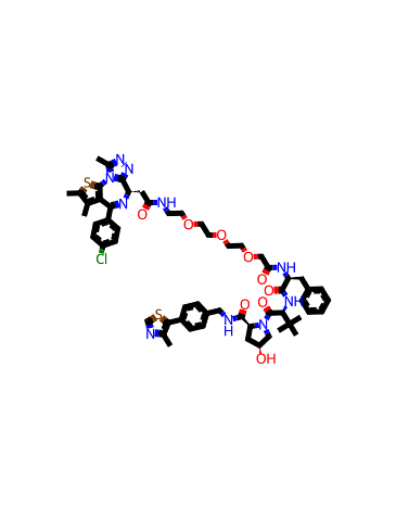 Cc1ncsc1-c1ccc(CNC(=O)[C@@H]2C[C@@H](O)CN2C(=O)[C@@H](NC(=O)[C@H](Cc2ccccc2)NC(=O)COCCOCCOCCNC(=O)C[C@@H]2N=C(c3ccc(Cl)cc3)c3c(sc(C)c3C)-n3c(C)nnc32)C(C)(C)C)cc1